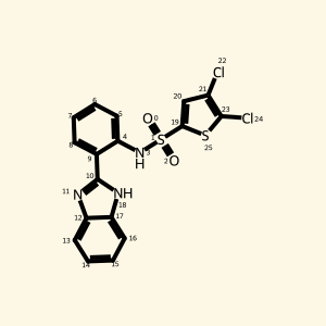 O=S(=O)(Nc1ccccc1-c1nc2ccccc2[nH]1)c1cc(Cl)c(Cl)s1